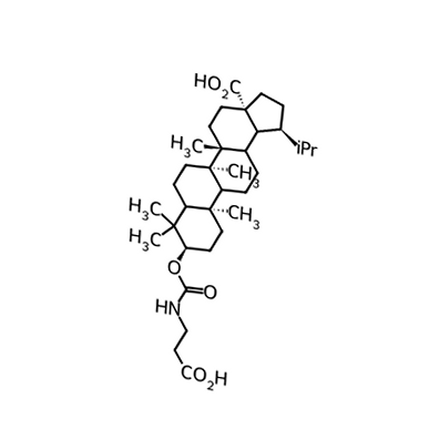 CC(C)[C@@H]1CC[C@]2(C(=O)O)CC[C@]3(C)C(CCC4[C@@]5(C)CC[C@@H](OC(=O)NCCC(=O)O)C(C)(C)C5CC[C@]43C)C12